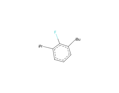 CCC(C)c1cccc(C(C)C)c1F